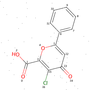 O=C(O)c1oc(-c2ccccc2)cc(=O)c1Cl